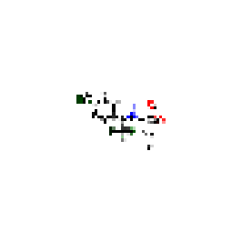 CCC[C@H](NC(c1ccc(Br)cc1)C(F)(F)F)C(=O)O